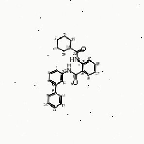 O=C(Nc1cccc(-c2ccccc2)c1)c1ccccc1NC(=O)C1CCCCC1